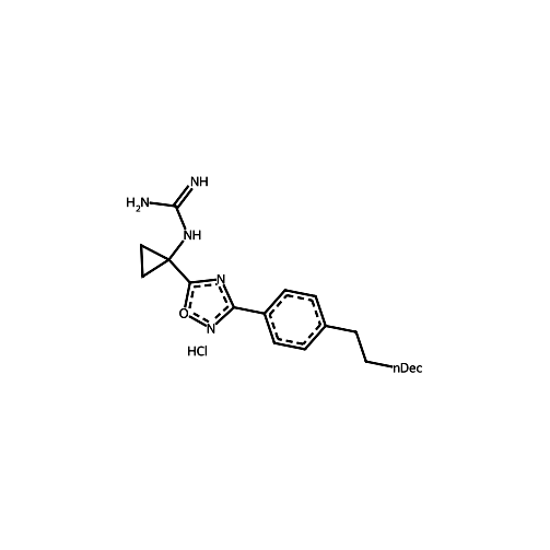 CCCCCCCCCCCCc1ccc(-c2noc(C3(NC(=N)N)CC3)n2)cc1.Cl